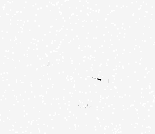 CN[C@H](C)[C@H](O)c1ccccc1.[AlH3]